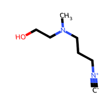 [C-]#[N+]CCCN(C)CCO